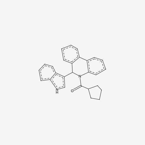 O=C(C1CCCC1)N1c2ccccc2-c2ccccc2C1c1c[nH]c2ccccc12